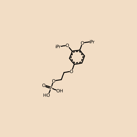 CC(C)Oc1ccc(OCCOP(=O)(O)O)cc1OC(C)C